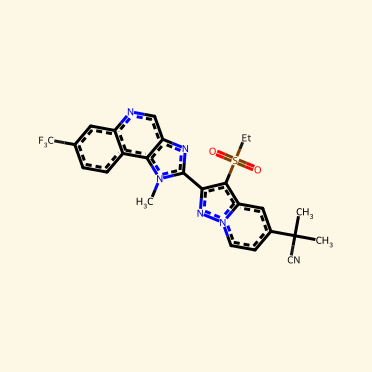 CCS(=O)(=O)c1c(-c2nc3cnc4cc(C(F)(F)F)ccc4c3n2C)nn2ccc(C(C)(C)C#N)cc12